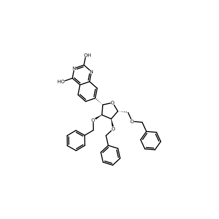 Oc1nc(O)c2ccc([C@@H]3O[C@H](COCc4ccccc4)[C@@H](OCc4ccccc4)[C@H]3OCc3ccccc3)cc2n1